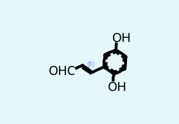 O=C/C=C/c1cc(O)ccc1O